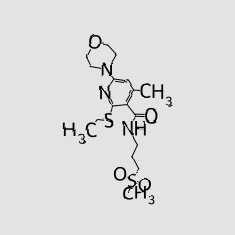 CCSc1nc(N2CCOCC2)cc(C)c1C(=O)NCCCS(C)(=O)=O